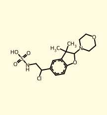 CC1(C)c2cc(C(Cl)CNS(=O)(=O)O)ccc2OC1N1CCOCC1